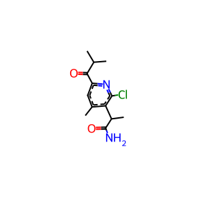 Cc1cc(C(=O)C(C)C)nc(Cl)c1C(C)C(N)=O